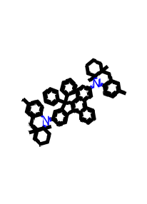 Cc1ccc2c(c1)CC1(C)CCCCC1(C)N2c1ccc2c(c1)C(c1ccccc1)(c1ccccc1)c1c-2c2ccccc2c2cc(N3c4ccc(C)cc4CC4(C)CCCCC34C)ccc12